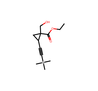 CCOC(=O)C1(CO)CC1C#C[Si](C)(C)C